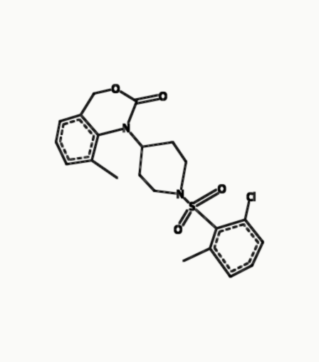 Cc1cccc2c1N(C1CCN(S(=O)(=O)c3c(C)cccc3Cl)CC1)C(=O)OC2